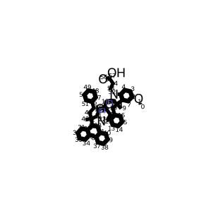 COc1ccc2c(c1)C(C)(Cc1ccccc1)/C(=C\C=C\C1=[N+](CCC(=O)O)c3c(c4ccccc4c4ccccc34)C1(C)CCc1ccccc1)N2CCC(=O)O